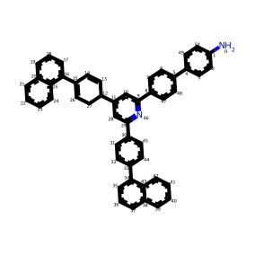 Nc1ccc(-c2ccc(-c3cc(C4C=CC(c5cccc6ccccc56)=CC4)cc(-c4ccc(-c5cccc6ccccc56)cc4)n3)cc2)cc1